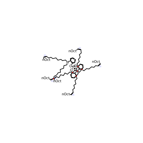 CCCCCCCC/C=C\CCCCCCCCN(CCCCCCCC/C=C\CCCCCCCC)c1ccccc1OP(=O)(Oc1ccccc1N(CCCCCCCC/C=C\CCCCCCCC)CCCCCCCC/C=C\CCCCCCCC)Oc1ccccc1N(CCCCCCCC/C=C\CCCCCCCC)CCCCCCCC/C=C\CCCCCCCC